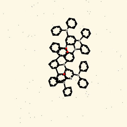 c1ccc(-c2cccc(-c3ccccc3)c2N(c2cc(N(c3ccccc3)c3ccccc3)nc(N(c3ccccc3)c3ccccc3)c2)c2ccc3c(c2)N(c2ccccc2)c2cc(N(c4ccccc4)c4ccccc4)cc4c2B3c2ccccc2N4c2ccccc2)cc1